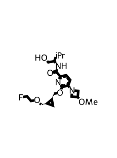 COC1CN(c2ccc(C(=O)NC(CO)C(C)C)nc2OC[C@@H]2C[C@@H]2COCCF)C1